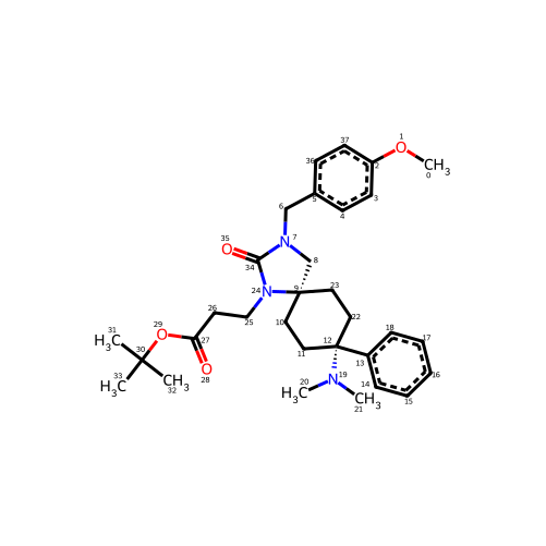 COc1ccc(CN2C[C@]3(CC[C@@](c4ccccc4)(N(C)C)CC3)N(CCC(=O)OC(C)(C)C)C2=O)cc1